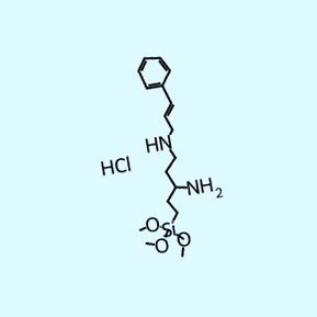 CO[Si](CCC(N)CCNCC=Cc1ccccc1)(OC)OC.Cl